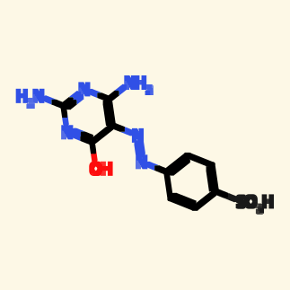 Nc1nc(N)c(N=Nc2ccc(S(=O)(=O)O)cc2)c(O)n1